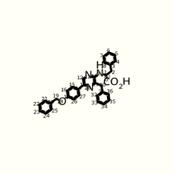 O=C(O)[C@H](Cc1ccccc1)Nc1ncc(-c2ccc(OCc3ccccc3)cc2)nc1Cc1ccccc1